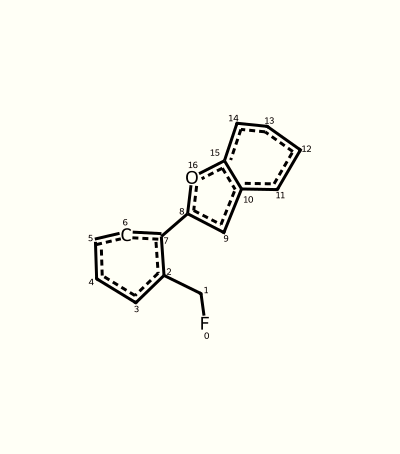 FCc1ccccc1-c1cc2ccccc2o1